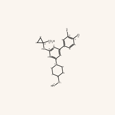 CCCOC1CCN(c2cc(-c3ccc(Cl)c(F)c3)nc(OC3(C(=O)O)CC3)n2)CC1